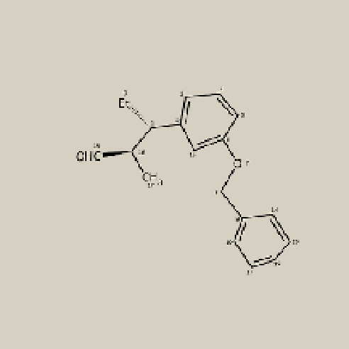 CC[C@H](c1cccc(OCc2ccccc2)c1)[C@@H](C)C=O